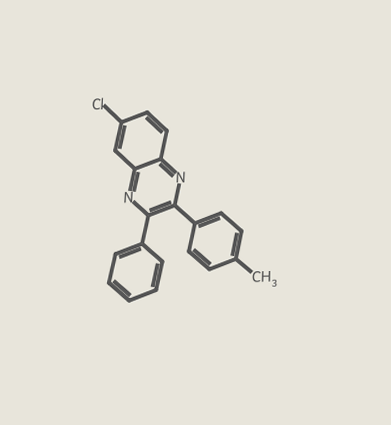 Cc1ccc(-c2nc3ccc(Cl)cc3nc2-c2ccccc2)cc1